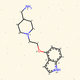 NCC1CCN(CCOc2cccc3[nH]ccc23)CC1